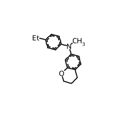 CCc1ccc(N(C)c2ccc3c(c2)OCCC3)cc1